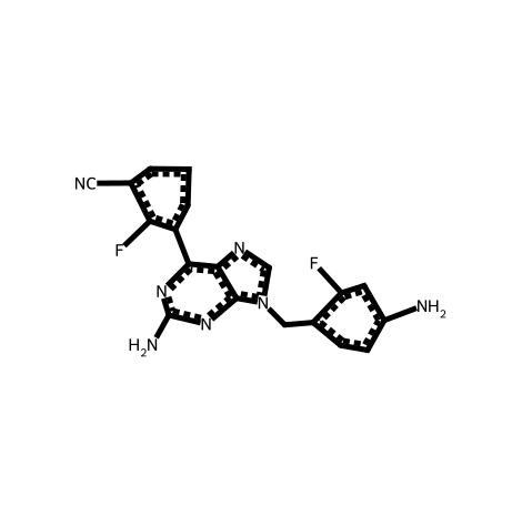 N#Cc1cccc(-c2nc(N)nc3c2ncn3Cc2ccc(N)cc2F)c1F